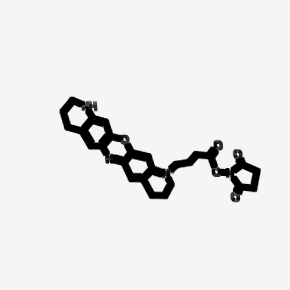 O=C(CCC[N+]1=c2cc3c(cc2CCC1)=Nc1cc2c(cc1O3)NCCC2)ON1C(=O)CCC1=O